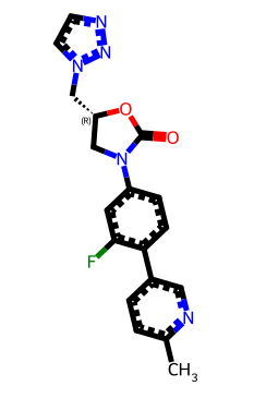 Cc1ccc(-c2ccc(N3C[C@H](Cn4ccnn4)OC3=O)cc2F)cn1